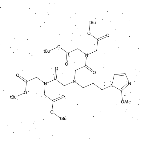 COc1nccn1CCCN(CC(=O)N(CC(=O)OC(C)(C)C)CC(=O)OC(C)(C)C)CC(=O)N(CC(=O)OC(C)(C)C)CC(=O)OC(C)(C)C